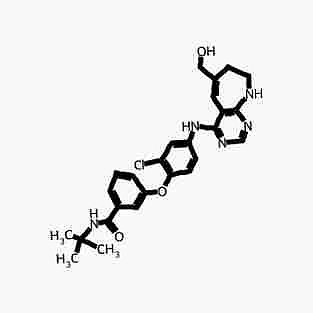 CC(C)(C)NC(=O)c1cccc(Oc2ccc(Nc3ncnc4c3C=C(CO)CCN4)cc2Cl)c1